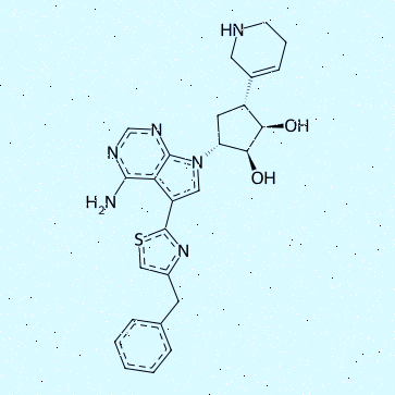 Nc1ncnc2c1c(-c1nc(Cc3ccccc3)cs1)cn2[C@@H]1C[C@H](C2=CCCNC2)[C@@H](O)[C@H]1O